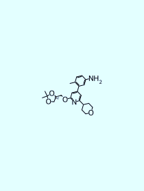 Cc1ccc(N)cc1-c1cc(OC[C@H]2COC(C)(C)O2)nc(C2CCOCC2)c1